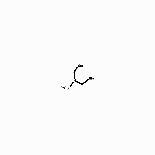 CCOC(=O)N(CC(C)(C)C)CC(C)(C)C